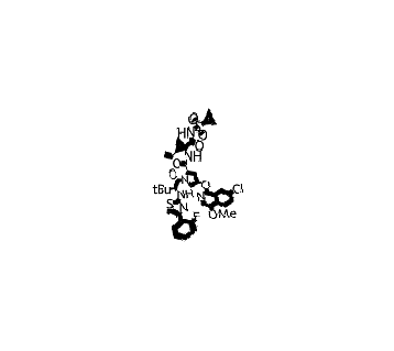 C=C[C@@H]1C[C@]1(NC(=O)[C@@H]1C[C@@H](Oc2ncc(OC)c3ccc(Cl)cc23)CN1C(=O)[C@@H](Nc1nc(-c2ccccc2F)cs1)C(C)(C)C)C(=O)NS(=O)(=O)C1CC1